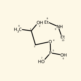 CC(O)COP(O)O.CCNCC